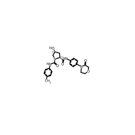 Cc1ccc(NC(=O)N2C[C@@H](O)C[C@H]2C(=O)Nc2ccc(N3CCOCC3=O)cc2)cc1